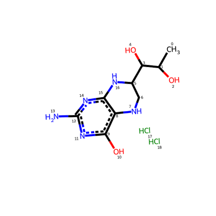 CC(O)C(O)C1CNc2c(O)nc(N)nc2N1.Cl.Cl